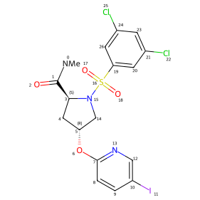 CNC(=O)[C@@H]1C[C@@H](Oc2ccc(I)cn2)CN1S(=O)(=O)c1cc(Cl)cc(Cl)c1